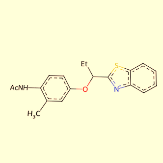 CCC(Oc1ccc(NC(C)=O)c(C)c1)c1nc2ccccc2s1